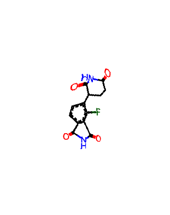 O=C1CCC(c2ccc3c(c2F)C(=O)NC3=O)C(=O)N1